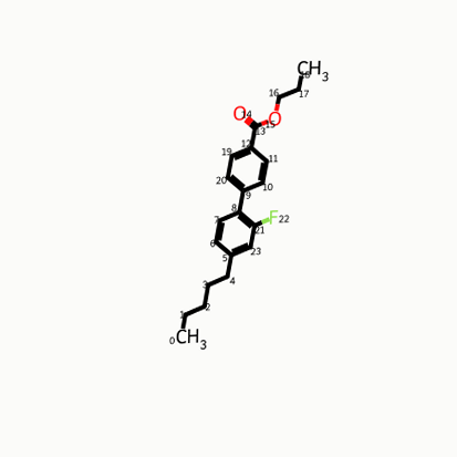 CCCCCc1ccc(-c2ccc(C(=O)OCCC)cc2)c(F)c1